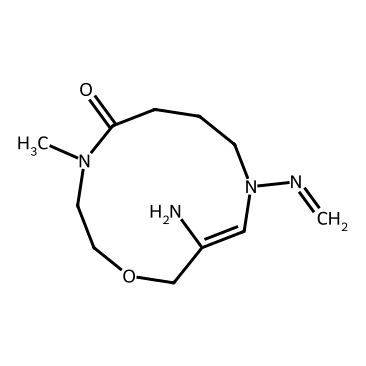 C=NN1/C=C(\N)COCCN(C)C(=O)CCC1